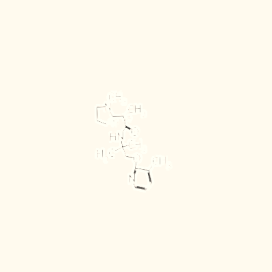 Cc1cccnc1OCC(C)(C)NC(=O)[C@@H](C)[C@@H]1CCCN1C